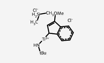 COC1=C[CH]([Ti+2][NH]C(C)(C)C)c2ccccc21.C[SiH2]C.[Cl-].[Cl-]